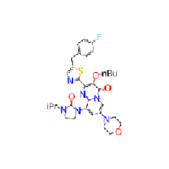 CCCCOc1c(-c2ncc(Cc3ccc(F)cc3)s2)nc2c(N3CCN(C(C)C)C3=O)cc(N3CCOCC3)cn2c1=O